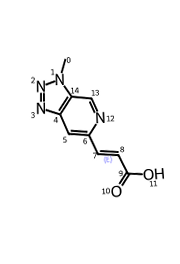 Cn1nnc2cc(/C=C/C(=O)O)ncc21